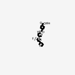 COC(=O)c1ccc(C(=O)Nc2ccc(-n3nc(C4C=NC=CC4)cc3C(F)(F)F)cn2)cc1